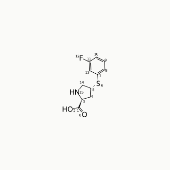 O=C(O)[C@@H]1C[C@@H](Sc2cccc(F)c2)CN1